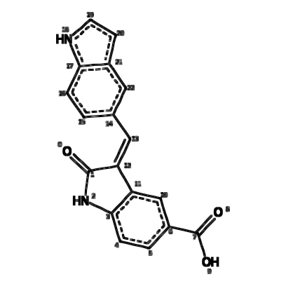 O=C1Nc2ccc(C(=O)O)cc2/C1=C/c1ccc2[nH]ccc2c1